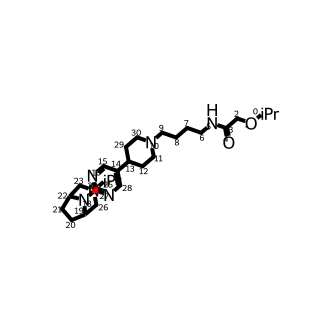 CC(C)OCC(=O)NCCCCN1CCC(c2cnc(N3C4CCC3CN(C(C)C)C4)nc2)CC1